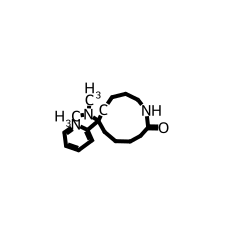 CN(C)C1(c2ccccn2)CCCCNC(=O)CCCC1